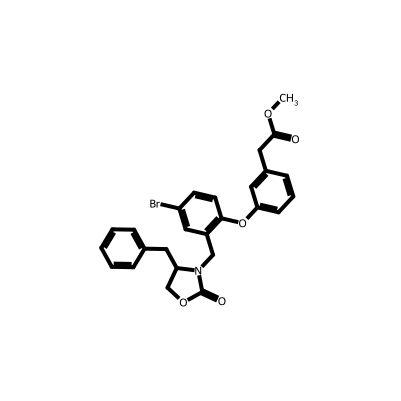 COC(=O)Cc1cccc(Oc2ccc(Br)cc2CN2C(=O)OCC2Cc2ccccc2)c1